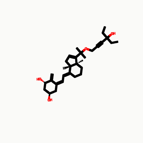 C=C1/C(=C\C=C2/CCC[C@]3(C)C(C(C)(C)OCC#CC(O)(CC)CC)=CC[C@@H]23)C[C@@H](O)C[C@@H]1O